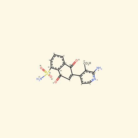 Nc1nccc(C2=CC(=O)c3c(cccc3S(N)(=O)=O)C2=O)c1C(=O)O